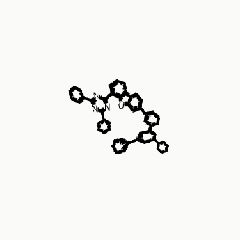 c1ccc(-c2cc(-c3ccccc3)cc(-c3cccc(-c4ccc5c(c4)oc4c(-c6nc(-c7ccccc7)nc(-c7ccccc7)n6)cccc45)c3)c2)cc1